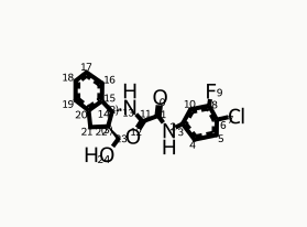 O=C(Nc1ccc(Cl)c(F)c1)C(=O)N[C@H]1c2ccccc2C[C@@H]1CO